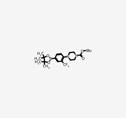 CC(C)(C)OC(=O)N1CCN(c2ccc(B3OC(C)(C)C(C)(C)O3)cc2C(F)(F)F)CC1